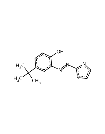 CC(C)(C)c1ccc(O)c(/N=N/c2nccs2)c1